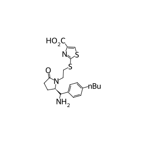 CCCCc1ccc(C(N)[C@H]2CCC(=O)N2CCSc2nc(C(=O)O)cs2)cc1